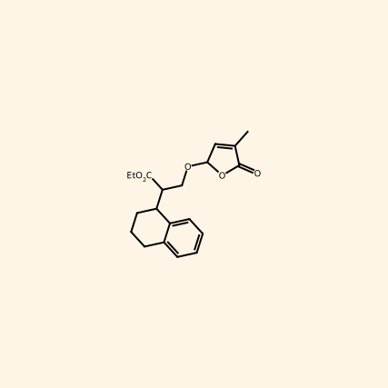 CCOC(=O)C(COC1C=C(C)C(=O)O1)C1CCCc2ccccc21